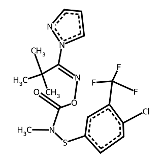 CN(Sc1ccc(Cl)c(C(F)(F)F)c1)C(=O)ON=C(n1cccn1)C(C)(C)C